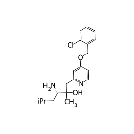 CC(C)C[C@H](N)C(C)(O)Cc1cc(OCc2ccccc2Cl)ccn1